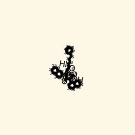 O=C(CON(C(=O)C(c1cccc2ccccc12)P(=O)(O)O)c1ccc2ccccc2c1)NCCCc1ccccc1